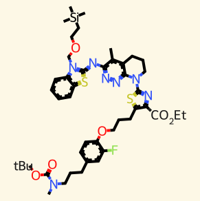 CCOC(=O)c1nc(N2CCCc3c2nnc(/N=c2\sc4ccccc4n2COCC[Si](C)(C)C)c3C)sc1CCCOc1ccc(CCCN(C)C(=O)OC(C)(C)C)cc1F